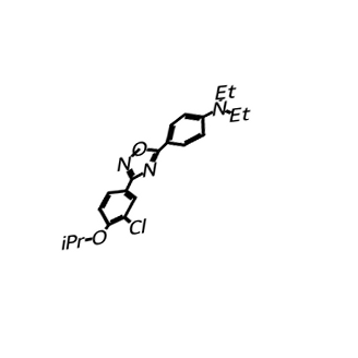 CCN(CC)c1ccc(-c2nc(-c3ccc(OC(C)C)c(Cl)c3)no2)cc1